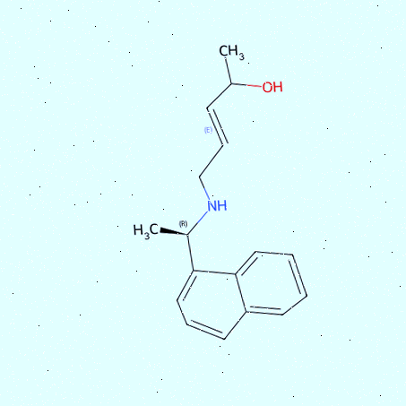 CC(O)/C=C/CN[C@H](C)c1cccc2ccccc12